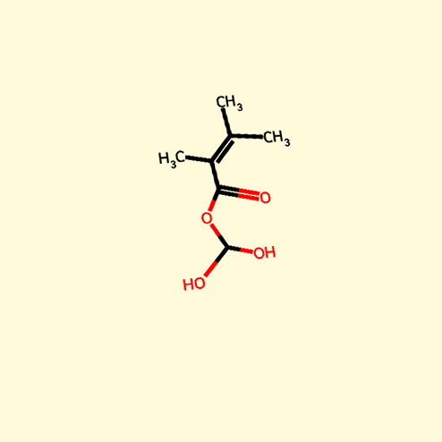 CC(C)=C(C)C(=O)OC(O)O